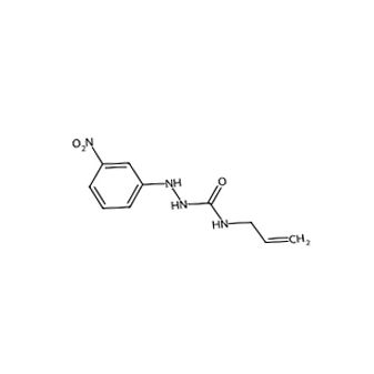 C=CCNC(=O)NNc1cccc([N+](=O)[O-])c1